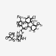 CCC(C)(SC1=NNN(CC[C@@H]2O[C@@H](c3cccc(OC)c3OC)c3cc(Cl)ccc3-n3c(CF)nnc32)N1)C(=O)O